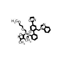 COCCOCN(c1onc(C)c1C)S(=O)(=O)c1ccccc1-c1ccc(-c2ncco2)cc1Cn1cnc2ccccc21